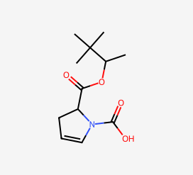 CC(OC(=O)C1CC=CN1C(=O)O)C(C)(C)C